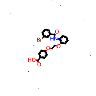 O=C(O)c1ccc(OCCOc2ccccc2NC(=O)c2cccc(Br)c2)cc1